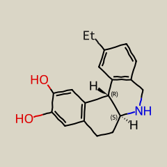 CCc1ccc2c(c1)[C@H]1c3cc(O)c(O)cc3CC[C@@H]1NC2